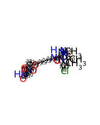 Cc1sc2c(c1C)C(c1ccc(Cl)cc1)=N[C@@H](CC(=O)NCCCCCCCCOc1cccc3c1C(=O)N(C14CC(C1)C(=O)NC4=O)C3=O)c1nnc(C)n1-2